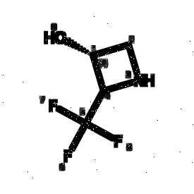 O[C@@H]1CNC1C(F)(F)F